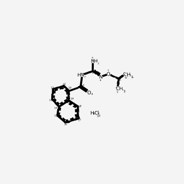 CC(C)ON=C(N)NC(=O)c1cccc2ccccc12.Cl